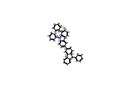 c1ccc(C2c3ccccc3-c3cc(-c4ccc5c(c4)c4ccc6sc7ccccc7c6c4n5-c4ccccc4)ccc32)cc1